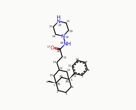 C[C@@]12CCC[C@@](c3ccccc3)(CC(CCC(=O)NN3CCNCC3)C1)C2